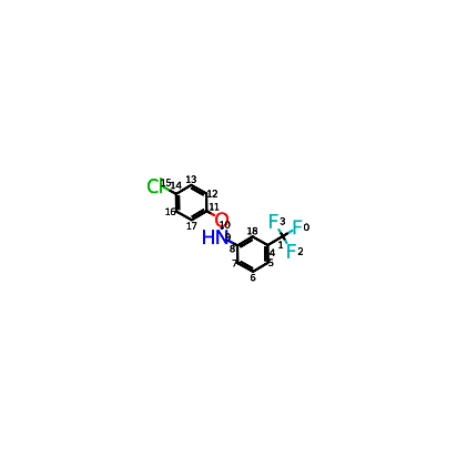 FC(F)(F)c1cccc(NOc2ccc(Cl)cc2)c1